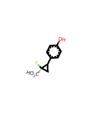 O=C(O)[C@@]1(F)CC1c1ccc(O)cc1